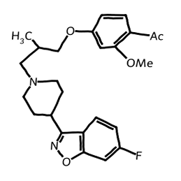 COc1cc(OCC(C)CN2CCC(c3noc4cc(F)ccc34)CC2)ccc1C(C)=O